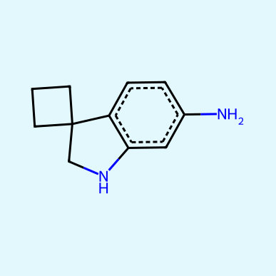 Nc1ccc2c(c1)NCC21CCC1